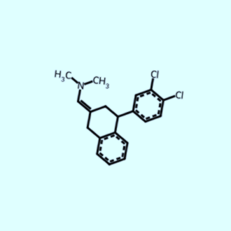 CN(C)/C=C1/Cc2ccccc2C(c2ccc(Cl)c(Cl)c2)C1